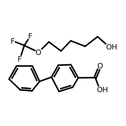 O=C(O)c1ccc(-c2ccccc2)cc1.OCCCCCOC(F)(F)F